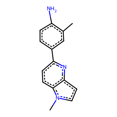 Cc1cc(-c2ccc3c(ccn3C)n2)ccc1N